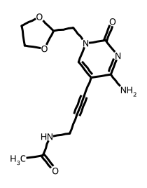 CC(=O)NCC#Cc1cn(CC2OCCO2)c(=O)nc1N